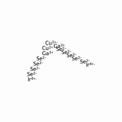 [Cu+2].[Cu+2].[Ga+3].[Ga+3].[Ir+4].[Ir+4].[Se-2].[Se-2].[Se-2].[Se-2].[Se-2].[Se-2].[Se-2].[Se-2].[Se-2]